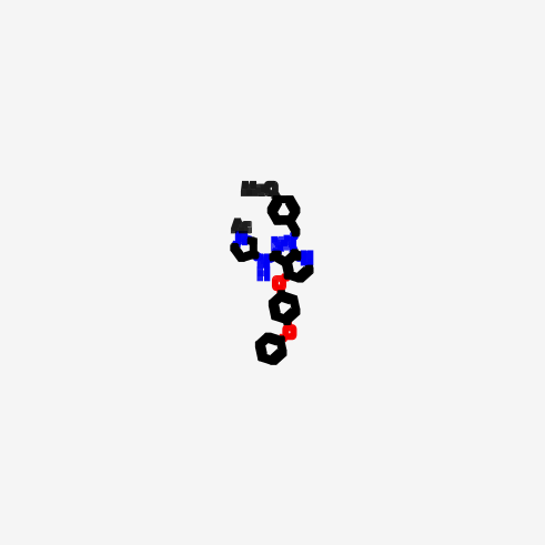 COc1ccc(Cn2nc(NC3CCN(C(C)=O)C3)c3c(Oc4ccc(Oc5ccccc5)cc4)ccnc32)cc1